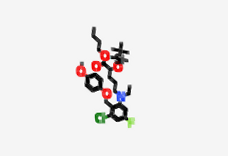 CCCCOC(=O)C(CCCN(CC)c1cc(F)cc(Cl)c1COc1ccc(OC)cc1)O[Si](C)(C)C(C)(C)C